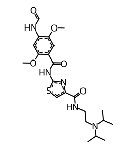 COc1cc(C(=O)Nc2nc(C(=O)NCCN(C(C)C)C(C)C)cs2)c(OC)cc1NC=O